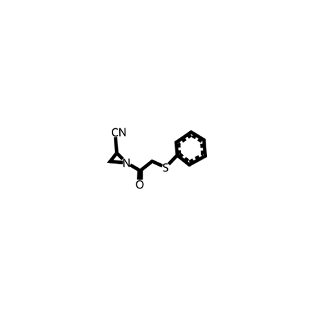 N#CC1CN1C(=O)CSc1ccccc1